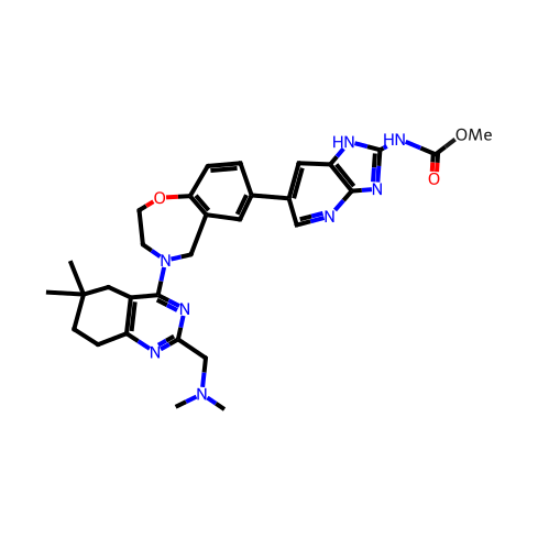 COC(=O)Nc1nc2ncc(-c3ccc4c(c3)CN(c3nc(CN(C)C)nc5c3CC(C)(C)CC5)CCO4)cc2[nH]1